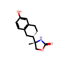 C[C@]1([C@H]2CCc3cc(O)ccc3C2)COC(=O)N1